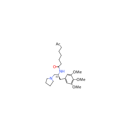 COc1cc(C[C@@H](CN2CCCC2)NC(=O)CCCCCC(C)=O)cc(OC)c1OC